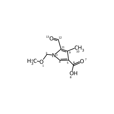 COCn1cc(C(=O)O)c(C)c1C=O